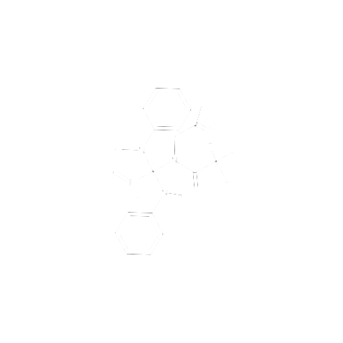 CN(c1ccccc1)C([PH2]=S)(N(CC(=O)O)C(=O)C(F)(F)F)N(C)c1ccccc1